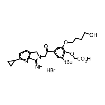 Br.CC(C)(C)c1cc(C(=O)CN2Cc3ccc(C4CC4)nc3C2=N)cc(OCCCCO)c1OCC(=O)O